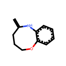 C=C1CCCOc2ccccc2N1